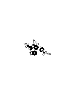 COC(=O)c1sc(-n2cnc3ccccc32)cc1OC(C)c1cccc(OC2CCN(C(=O)OC(C)(C)C)CC2)c1Cl